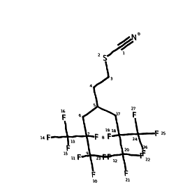 N#CSCCC(CC(F)(C(F)(F)F)C(F)(F)F)CC(F)(C(F)(F)F)C(F)(F)F